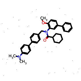 COc1ccc(-c2ccccc2)cc1N(Cc1ccc(-c2ccc(N(C)C)cc2)cc1)C(=O)C1CCCCC1